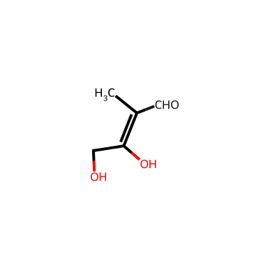 CC(C=O)=C(O)CO